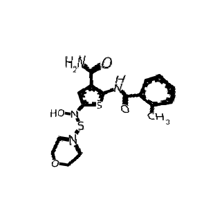 Cc1ccccc1C(=O)Nc1sc(N(O)SN2CCOCC2)cc1C(N)=O